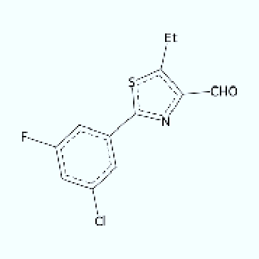 CCc1sc(-c2cc(F)cc(Cl)c2)nc1C=O